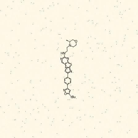 C[C@H]1COCCN1CCNc1ncc2c(n1)sc1nc(-c3ccc(-c4cc(C(C)(C)C)on4)cc3)cn12